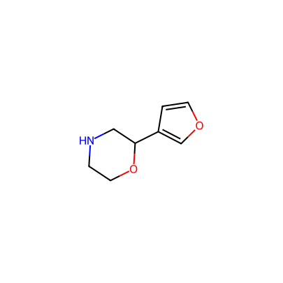 c1cc(C2CNCCO2)co1